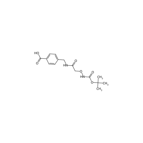 CC(C)(C)OC(=O)NOCC(=O)NCc1ccc(C(=O)O)cc1